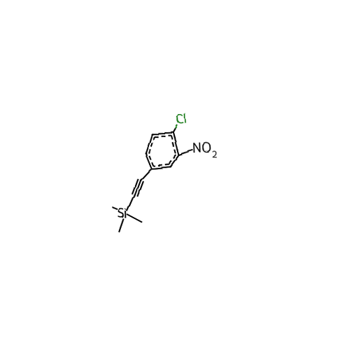 C[Si](C)(C)C#Cc1ccc(Cl)c([N+](=O)[O-])c1